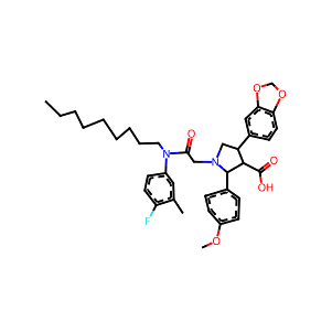 CCCCCCCCCN(C(=O)CN1CC(c2ccc3c(c2)OCO3)C(C(=O)O)C1c1ccc(OC)cc1)c1ccc(F)c(C)c1